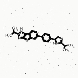 CC(C)C1=NCC(c2ccc(-c3ccc4c(c3)sc3nc(C(C)C)[nH]c34)cc2)N1